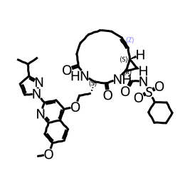 COc1ccc2c(OCC[C@@H]3NC(=O)CCCCC/C=C\[C@@H]4C[C@@]4(C(=O)NS(=O)(=O)C4CCCCC4)NC3=O)cc(-n3ccc(C(C)C)n3)nc2c1